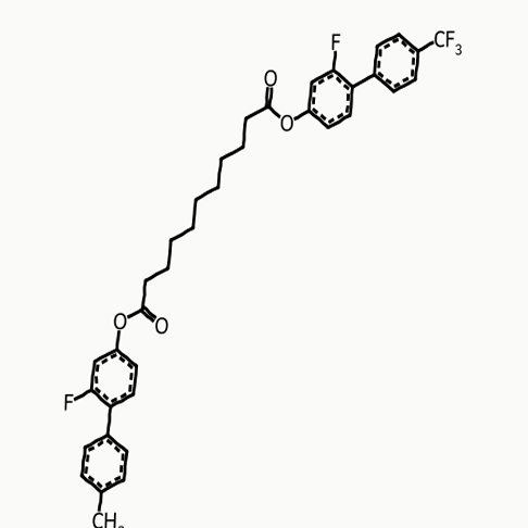 Cc1ccc(-c2ccc(OC(=O)CCCCCCCCCC(=O)Oc3ccc(-c4ccc(C(F)(F)F)cc4)c(F)c3)cc2F)cc1